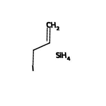 C=CCI.[SiH4]